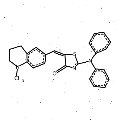 CN1CCCc2cc(/C=C3/SC(N(c4ccccc4)c4ccccc4)=NC3=O)ccc21